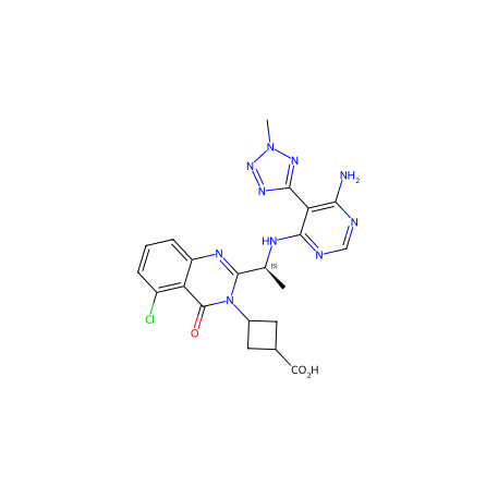 C[C@H](Nc1ncnc(N)c1-c1nnn(C)n1)c1nc2cccc(Cl)c2c(=O)n1C1CC(C(=O)O)C1